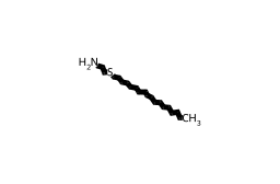 CCCCCCCCCCCCCCCCCCSCCCN